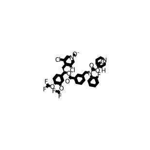 O=C(O[C@H](Cc1c(Cl)c[n+]([O-])cc1Cl)c1ccc(OC(F)F)c(OC(F)F)c1)c1cccc(CN(C(=O)O[C@H]2CN3CCC2CC3)c2ccccc2F)c1